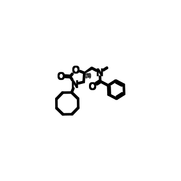 CN(C[C@H]1CN(C2CCCCCCC2)C(=O)O1)C(=O)c1ccccc1